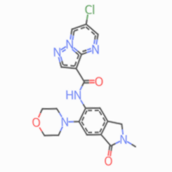 CN1Cc2cc(NC(=O)c3cnn4cc(Cl)cnc34)c(N3CCOCC3)cc2C1=O